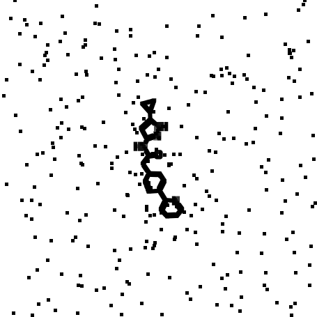 O=C(Cc1ccc(-c2ccccn2)cc1)Nc1cc(C2CC2)[nH]n1